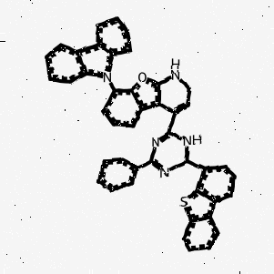 C1=C(C2=NC(c3ccccc3)=NC(c3cccc4c3sc3ccccc34)N2)c2c(oc3c(-n4c5ccccc5c5ccccc54)cccc23)NC1